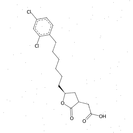 O=C(O)CC1C[C@H](CCCCCCc2ccc(Cl)cc2Cl)OC1=O